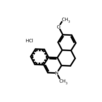 COC1=CC2C3=c4ccccc4=CN(C)C3CCC2C=C1.Cl